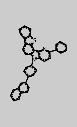 c1ccc(-c2ccc3c(n2)c2c4sc5ccccc5c4ccc2n3-c2ccc(-c3ccc4ccccc4c3)cc2)cc1